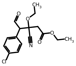 CCOC(=O)CC(C#N)(OCC)C(C=O)c1ccc(Cl)cc1